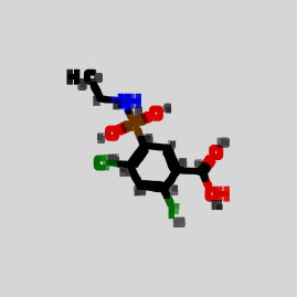 CCNS(=O)(=O)c1cc(C(=O)O)c(F)cc1Cl